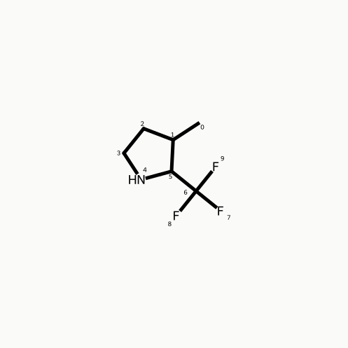 CC1CCNC1C(F)(F)F